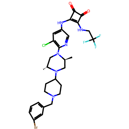 C[C@@H]1CN(c2ncc(Nc3c(NCC(F)(F)F)c(=O)c3=O)cc2Cl)[C@@H](C)CN1C1CCN(Cc2cccc(Br)c2)CC1